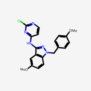 COc1ccc(Cn2nc(Nc3ccnc(Cl)n3)c3cc(OC)ccc32)cc1